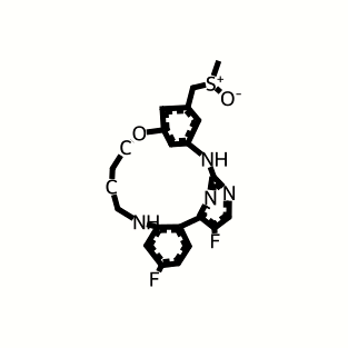 C[S+]([O-])Cc1cc2cc(c1)OCCCCNc1cc(F)ccc1-c1nc(ncc1F)N2